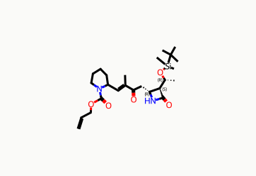 C=CCOC(=O)N1CCCCC1C=C(C)C(=O)C[C@H]1NC(=O)[C@@H]1[C@@H](C)O[Si](C)(C)C(C)(C)C